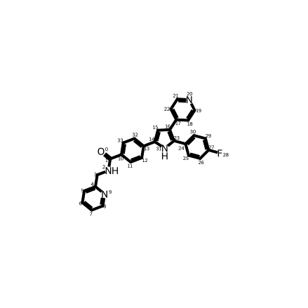 O=C(NCc1ccccn1)c1ccc(-c2cc(-c3ccncc3)c(-c3ccc(F)cc3)[nH]2)cc1